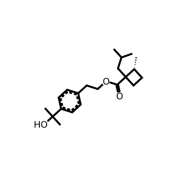 CC(C)CC1(C(=O)OCCc2ccc(C(C)(C)O)cc2)CC[C@H]1C